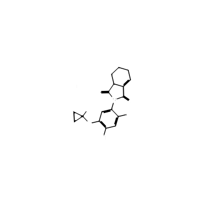 Cl.O=C1C2=CCCCC2C(=O)N1c1cc(SC2(C(=O)O)CC2)c(Cl)cc1F